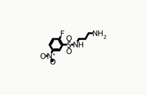 NCCCNS(=O)(=O)c1cc([N+](=O)[O-])ccc1F